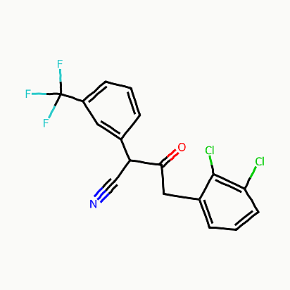 N#CC(C(=O)Cc1cccc(Cl)c1Cl)c1cccc(C(F)(F)F)c1